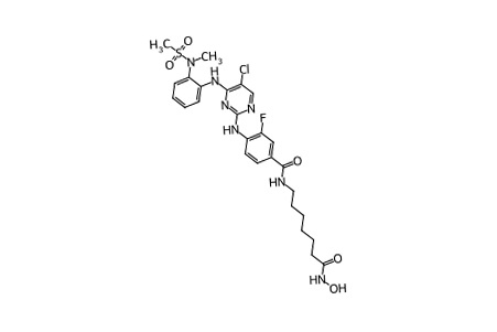 CN(c1ccccc1Nc1nc(Nc2ccc(C(=O)NCCCCCCC(=O)NO)cc2F)ncc1Cl)S(C)(=O)=O